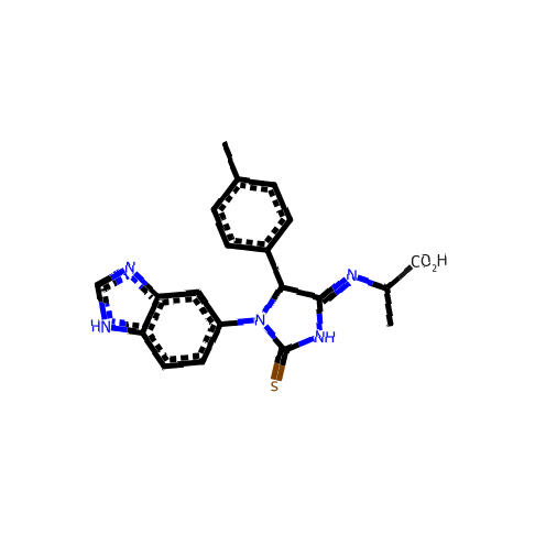 Cc1ccc(C2/C(=N/C(C)C(=O)O)NC(=S)N2c2ccc3[nH]cnc3c2)cc1